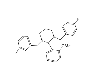 COc1ccccc1C1N(Cc2ccc(F)cc2)CCCN1Cc1cccc(C)c1